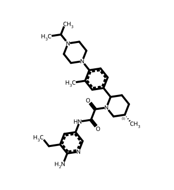 CCc1cc(NC(=O)C(=O)N2C[C@@H](C)CCC2c2ccc(N3CCN(C(C)C)CC3)c(C)c2)cnc1N